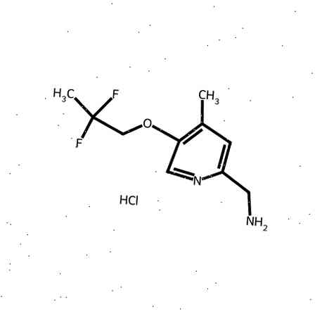 Cc1cc(CN)ncc1OCC(C)(F)F.Cl